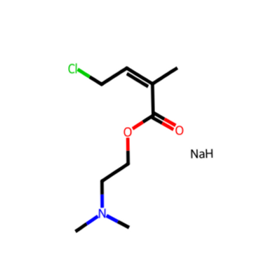 CC(=CCCl)C(=O)OCCN(C)C.[NaH]